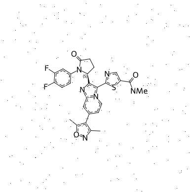 CNC(=O)c1cnc(-c2c([C@@H]3CCC(=O)N3c3ccc(F)c(F)c3)nc3cc(-c4c(C)noc4C)ccn23)s1